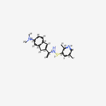 C=C(NSc1cc(C)cnc1C)C1=Cc2ccc(N(C)C)cc2C1